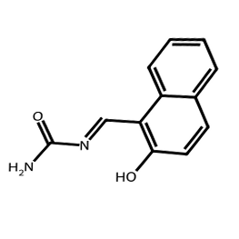 NC(=O)N=Cc1c(O)ccc2ccccc12